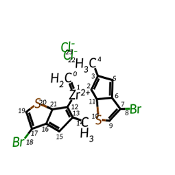 [CH2]=[Zr+2]([C]1=C(C)C=C2C(Br)=CSC21)[C]1=C(C)C=C2C(Br)=CSC21.[Cl-].[Cl-]